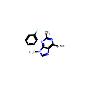 CNc1nc(C(F)(F)F)nc2c1ncn2C.Fc1ccccc1